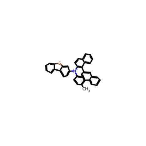 Cc1ccc(N(c2ccc3c(c2)sc2ccccc23)c2ccc3ccccc3c2-c2ccc3ccccc3c2)cc1